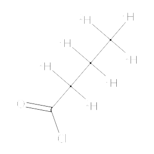 [2H]C([2H])([2H])C([2H])([2H])C([2H])([2H])C(=O)Cl